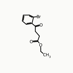 CCOC(=O)CCC(=O)c1ccccc1Br